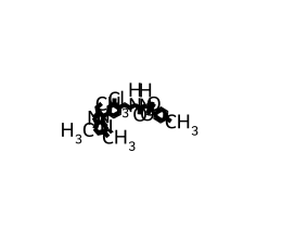 CCc1nc2c(C)cc(C)nc2n1-c1ccc(CCNC(=O)NS(=O)(=O)c2ccc(C)cc2)c(Cl)c1